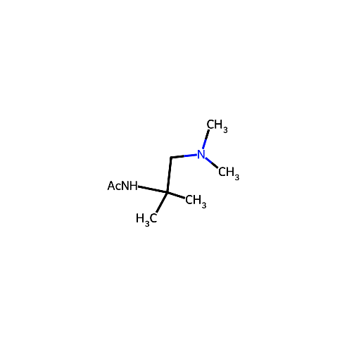 CC(=O)NC(C)(C)CN(C)C